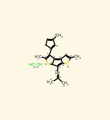 CC1=CCC(C2=C(C)SC3C2=c2cc(C)sc2=[C]3[Hf]=[C](C)C)=C1.Cl.Cl